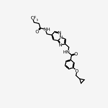 O=C(CCC(F)(F)F)NCc1cnn2cc(CNC(=O)c3cccc(OCC4CC4)c3)nc2c1